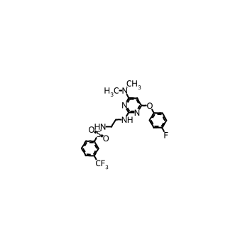 CN(C)c1cc(Oc2ccc(F)cc2)nc(NCCNS(=O)(=O)c2cccc(C(F)(F)F)c2)n1